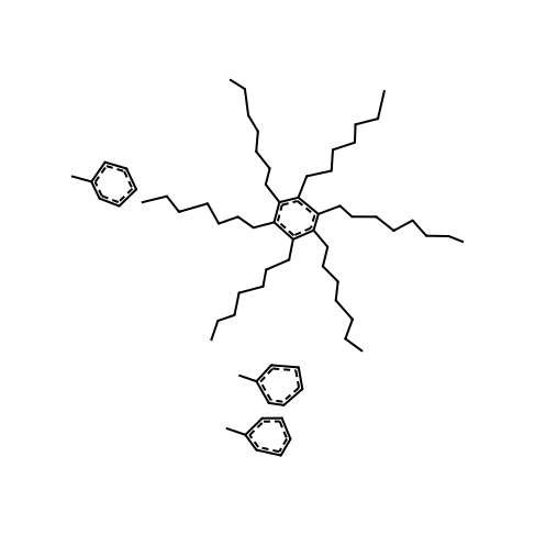 CCCCCCCCc1c(CCCCCCC)c(CCCCCCC)c(CCCCCCC)c(CCCCCCC)c1CCCCCCC.Cc1ccccc1.Cc1ccccc1.Cc1ccccc1